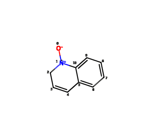 [O-][N+]1CC=Cc2ccccc21